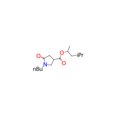 CCCCN1CC(C(=O)OC(C)CC(C)C)CC1=O